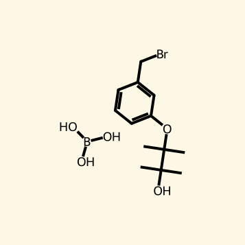 CC(C)(O)C(C)(C)Oc1cccc(CBr)c1.OB(O)O